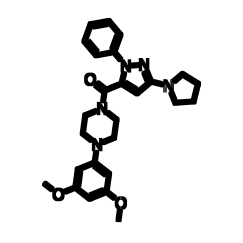 COc1cc(OC)cc(N2CCN(C(=O)c3cc(N4CCCC4)nn3-c3ccccc3)CC2)c1